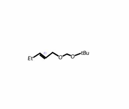 CC/C=C/COCOC(C)(C)C